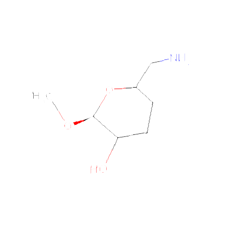 CO[C@H]1OC(CN)CCC1O